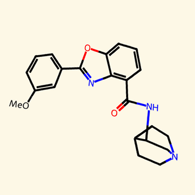 COc1cccc(-c2nc3c(C(=O)NC4CN5CCC4CC5)cccc3o2)c1